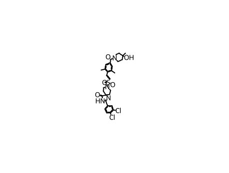 Cc1cc(C(=O)N2CCC(C)(O)CC2)cc(C)c1C=CS(=O)(=O)N1CCC2(CC1)N=C(c1ccc(Cl)c(Cl)c1)NC2=O